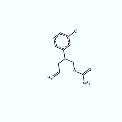 C=CCC(COC(N)=O)c1cccc(Cl)c1